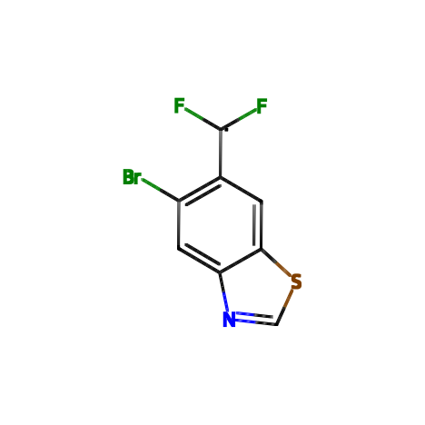 F[C](F)c1cc2scnc2cc1Br